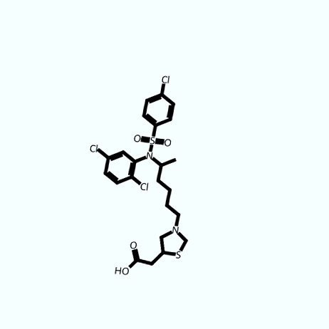 CC(CCCCN1CSC(CC(=O)O)C1)N(c1cc(Cl)ccc1Cl)S(=O)(=O)c1ccc(Cl)cc1